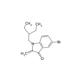 C=C1C(=O)c2cc(Br)ccc2N1CC(CC)CC